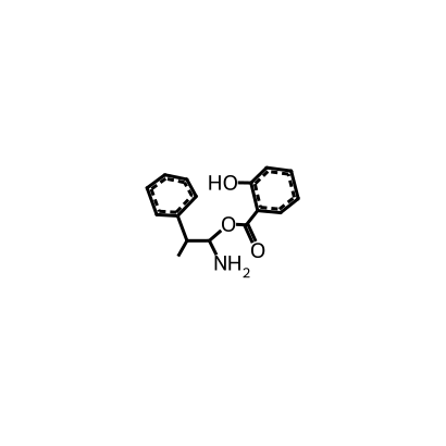 CC(c1ccccc1)C(N)OC(=O)c1ccccc1O